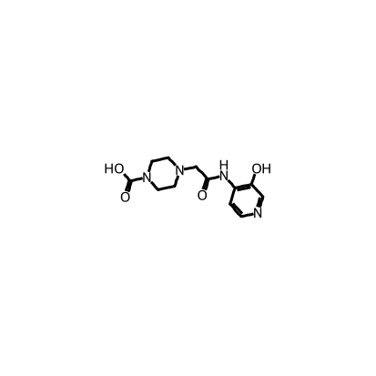 O=C(CN1CCN(C(=O)O)CC1)Nc1ccncc1O